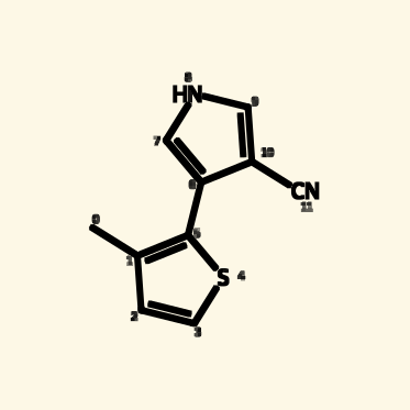 Cc1ccsc1-c1c[nH]cc1C#N